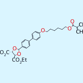 C=C(C)C(=O)OCCCCCCOc1ccc(-c2ccc(C3O[C@@H](C(=O)OCC)[C@H](C(=O)OCC)O3)cc2)cc1